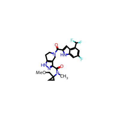 COCC1(N(C)C(=O)c2n[nH]c3c2CN(C(=O)c2cc4c(C(F)F)cc(F)cc4[nH]2)CC3)CC1